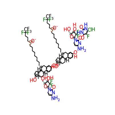 C[C@]12CC[C@@H]3c4ccc(O)cc4C[C@@H](CCCCCCCCC[S+]([O-])CCCC(F)(F)C(F)(F)F)[C@H]3[C@@H]1CC[C@@H]2O.C[C@]12CC[C@@H]3c4ccc(O)cc4C[C@@H](CCCCCCCCC[S+]([O-])CCCC(F)(F)C(F)(F)F)[C@H]3[C@@H]1CC[C@@H]2O.Cl.Nc1ccn([C@@H]2O[C@H](CO)[C@@H](O)C2(F)F)c(=O)n1.Nc1ccn([C@@H]2O[C@H](CO)[C@@H](O)C2(F)F)c(=O)n1.O=c1[nH]cc(F)c(=O)[nH]1